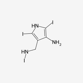 Nc1c(I)[nH]c(I)c1CNI